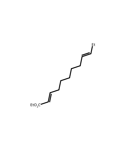 CC/C=C/CCCCC/C=C/C(=O)OCC